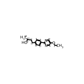 CCOc1cnc(-c2ccc(CCC(C)O)cc2)nc1